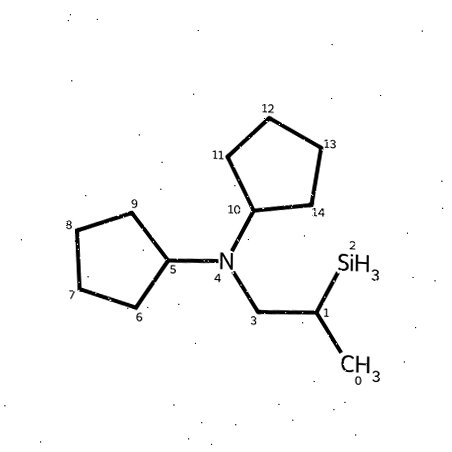 CC([SiH3])CN(C1CCCC1)C1CCCC1